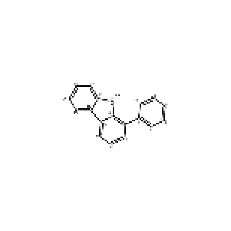 [c]1ccc(-c2cccc3c2sc2ccccc23)cc1